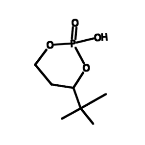 CC(C)(C)C1CCOP(=O)(O)O1